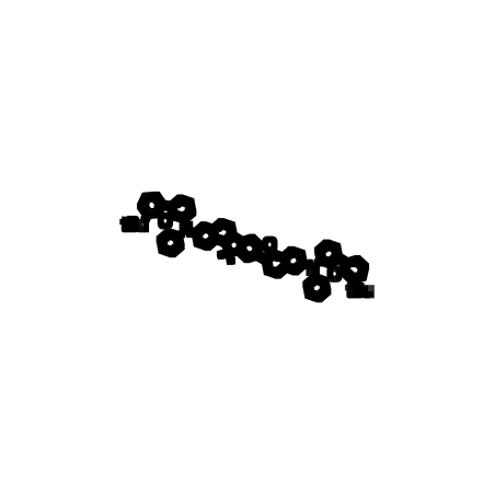 CC(C)(C)c1cccc2c1oc1c(N(c3ccccc3)c3ccc4c5c(ccc4c3)-c3cc4oc6c7ccc(N(c8ccccc8)c8cccc9c8oc8c(C(C)(C)C)cccc89)cc7ccc6c4cc3C5(C)C)cccc12